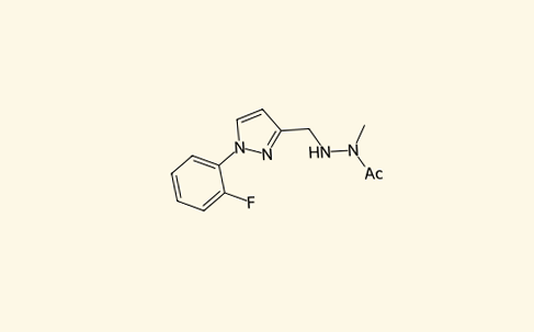 CC(=O)N(C)NCc1ccn(-c2ccccc2F)n1